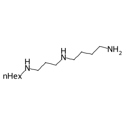 CCCCCCNCCCNCCCCN